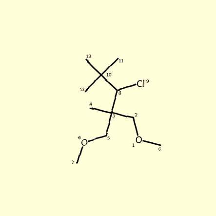 COCC(C)(COC)C(Cl)C(C)(C)C